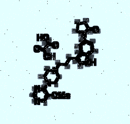 COc1cncnc1N1CCN(CCCc2c[nH]c3ccc(N4CCCC4=O)cc23)CC1.O=C(O)C(=O)O